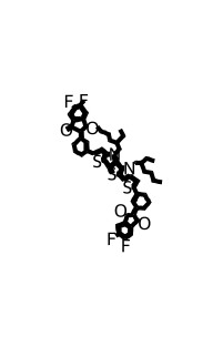 CCCCC(CC)Cn1c2cc(C3=CC(=C4C(=O)c5cc(F)c(F)cc5C4=O)CCC3)sc2c2sc3c4sc(C5=CC(=C6C(=O)c7cc(F)c(F)cc7C6=O)CCC5)cc4n(CC(CC)CCCC)c3c21